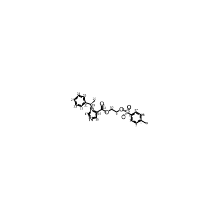 Cc1ccc(S(=O)(=O)OCCOC(=O)c2cncn2[C@H](C)c2ccccc2)cc1